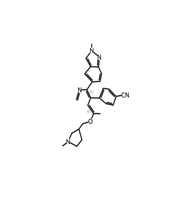 C=N/C(=C(\C=C(/C)OCC1CCN(C)C1)c1ccc(C#N)cc1)c1ccc2nn(C)cc2c1